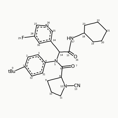 CC(C)(C)c1ccc(N(C(=O)C2CCCN2C#N)C(C(=O)NC2CCCCC2)c2cncc(F)c2)cc1